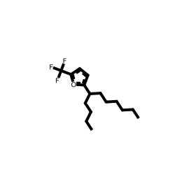 CCCCCCC(CCCC)c1ccc(C(F)(F)F)o1